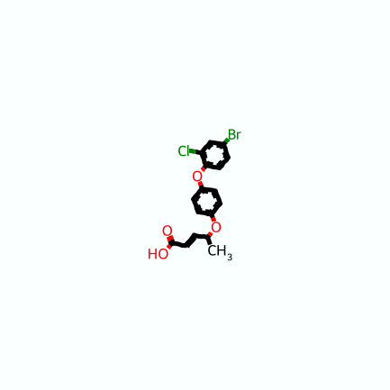 CC(C=CC(=O)O)Oc1ccc(Oc2ccc(Br)cc2Cl)cc1